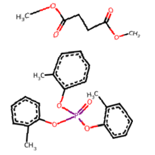 COC(=O)CCC(=O)OC.Cc1ccccc1OP(=O)(Oc1ccccc1C)Oc1ccccc1C